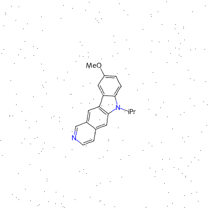 COc1ccc2c(c1)c1cc3cnccc3cc1n2C(C)C